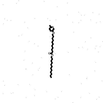 CCCCCCCCCCCCOC(=O)CCCCCCCCCCOc1ccc(C)nc1